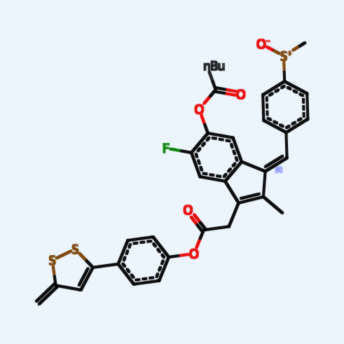 C=C1C=C(c2ccc(OC(=O)CC3=C(C)/C(=C/c4ccc([S+](C)[O-])cc4)c4cc(OC(=O)CCCC)c(F)cc43)cc2)SS1